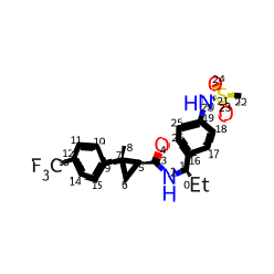 CC[C@@H](NC(=O)[C@H]1C[C@]1(C)c1ccc(C(F)(F)F)cc1)c1ccc(NS(C)(=O)=O)cc1